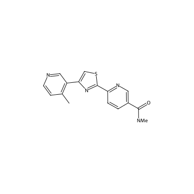 CNC(=O)c1ccc(-c2nc(-c3cnccc3C)cs2)nc1